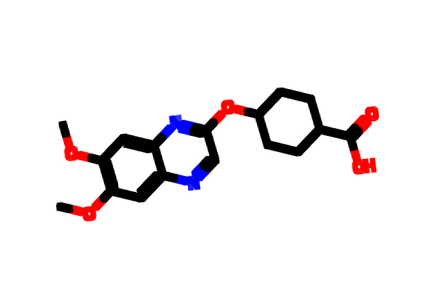 COc1cc2ncc(OC3CCC(C(=O)O)CC3)nc2cc1OC